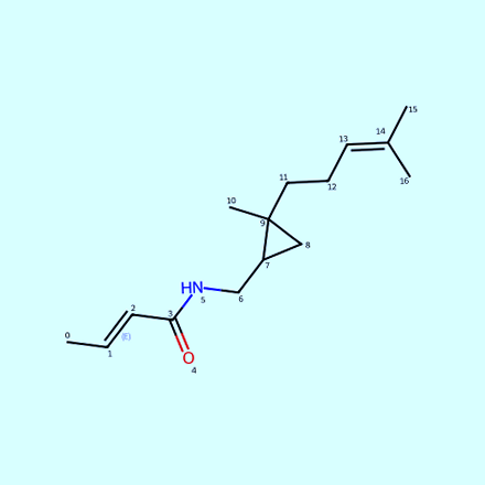 C/C=C/C(=O)NCC1CC1(C)CCC=C(C)C